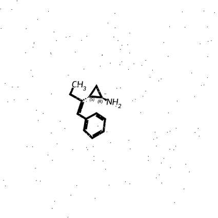 CCC(=Cc1ccccc1)[C@@H]1C[C@H]1N